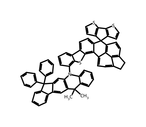 CC1(C)c2ccccc2N(c2cccc3c2sc2c4c(ccc23)C2(c3ccsc3-c3sccc32)c2ccc3c5c(ccc-4c25)CC3)c2cc3c(cc21)-c1ccccc1C3(c1ccccc1)c1ccccc1